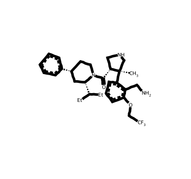 CCC(CC)[C@@H]1C[C@H](c2ccccc2)CCN1C(=O)[C@@H]1CNC[C@@]1(C)c1cccc(OCC(F)(F)F)c1CN